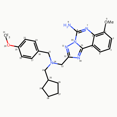 COc1cccc2c1nc(N)n1nc(CN(Cc3ccc(OC(F)(F)F)cc3)CC3CCCC3)nc21